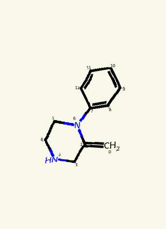 C=C1CNCCN1c1ccccc1